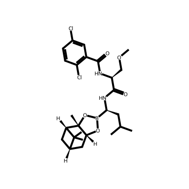 COC[C@H](NC(=O)c1cc(Cl)ccc1Cl)C(=O)N[C@@H](CC(C)C)B1O[C@@H]2C[C@@H]3C[C@@H](C3(C)C)[C@]2(C)O1